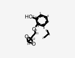 CCC.Oc1ccccc1OCC12OC1O2